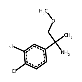 COCC(C)(N)c1ccc(Cl)c(Cl)c1